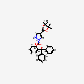 CC1(C)OB(c2cnn(C(=O)OC(c3ccccc3)(c3ccccc3)c3ccccc3)c2)OC1(C)C